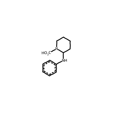 O=C(O)N1CCCCC1Nc1ccccc1